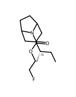 CC[C@H](C)C1CC2CCC(C1)N2C(=O)OCCF